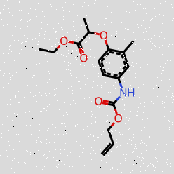 C=CCOC(=O)Nc1ccc(OC(C)C(=O)OCC)c(C)c1